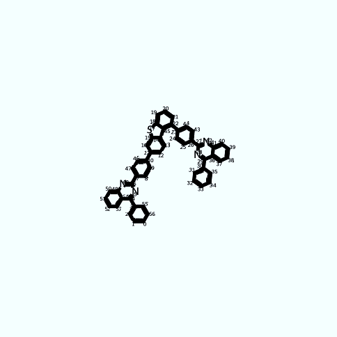 c1ccc(-c2nc(-c3ccc(-c4ccc5c(c4)sc4cccc(-c6ccc(-c7nc(-c8ccccc8)c8ccccc8n7)cc6)c45)cc3)nc3ccccc23)cc1